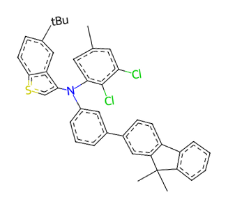 Cc1cc(Cl)c(Cl)c(N(c2cccc(-c3ccc4c(c3)C(C)(C)c3ccccc3-4)c2)c2csc3ccc(C(C)(C)C)cc23)c1